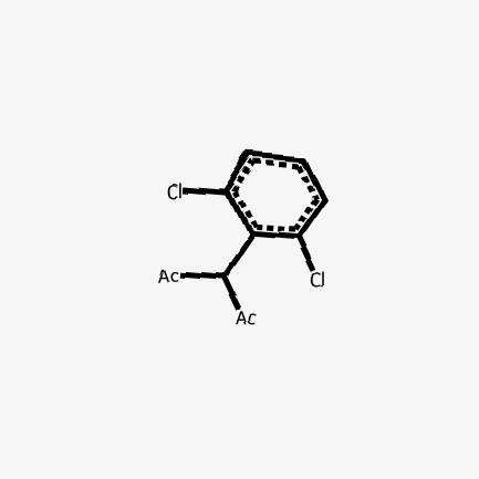 CC(=O)C(C(C)=O)c1c(Cl)cccc1Cl